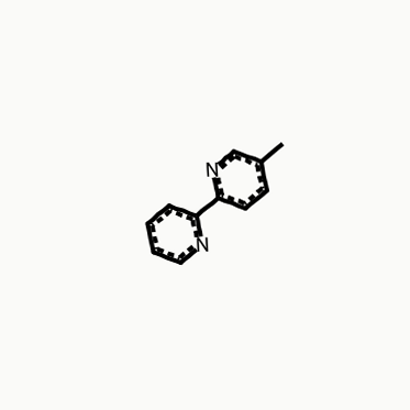 Cc1ccc(-c2ccccn2)nc1